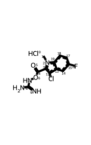 Cl.Cn1c(C(=O)ONC(=N)N)c(Cl)c2cc(F)ccc21